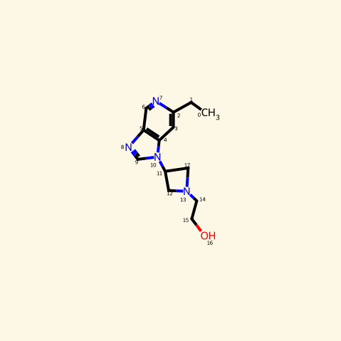 CCc1cc2c(cn1)ncn2C1CN(CCO)C1